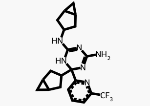 NC1=NC(c2cccc(C(F)(F)F)n2)(C2CC3CC3C2)NC(NC2CC3CC3C2)=N1